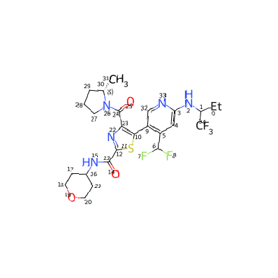 CCC(Nc1cc(C(F)F)c(-c2sc(C(=O)NC3CCOCC3)nc2C(=O)N2CCC[C@@H]2C)cn1)C(F)(F)F